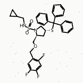 O=S(=O)(NCC1CC1)N1C[C@H](SC(c2ccccc2)(c2ccccc2)c2ccccc2)C[C@H]1COCc1cc(F)c(F)cc1F